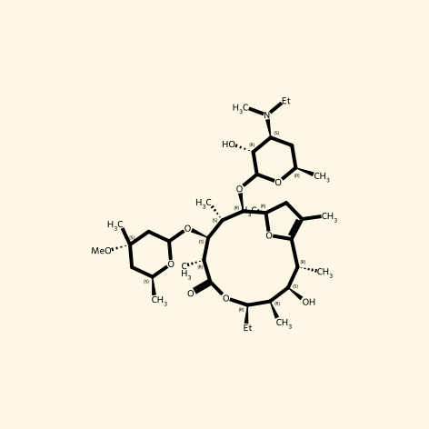 CC[C@H]1OC(=O)[C@H](C)[C@@H](OC2C[C@@](C)(OC)C[C@H](C)O2)[C@H](C)[C@@H](OC2O[C@H](C)C[C@H](N(C)CC)[C@H]2O)[C@@]2(C)CC(C)=C(O2)[C@H](C)[C@@H](O)[C@H]1C